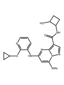 CNc1cc(Nc2cccnc2OC2CC2)nc2c(C(=O)NC3CCC3O)cnn12